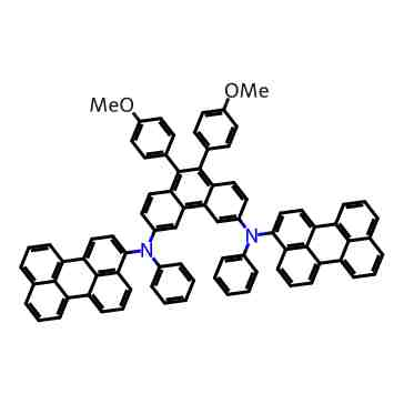 COc1ccc(-c2c(-c3ccc(OC)cc3)c3ccc(N(c4ccccc4)c4ccc5c6cccc7cccc(c8cccc4c85)c76)cc3c3cc(N(c4ccccc4)c4ccc5c6cccc7cccc(c8cccc4c85)c76)ccc23)cc1